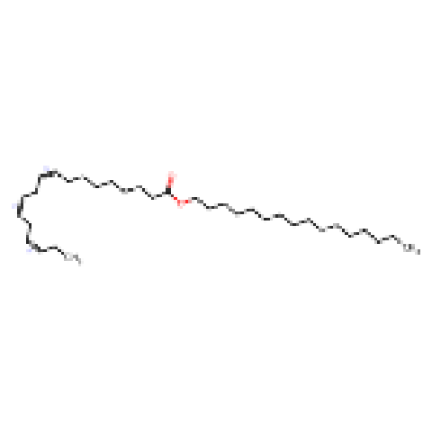 CC/C=C\C/C=C\C/C=C\CCCCCCCC(=O)OCCCCCCCCCCCCCCCC